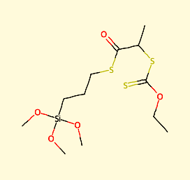 CCOC(=S)SC(C)C(=O)SCCC[Si](OC)(OC)OC